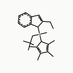 CCC1=Cc2ccccc2C1[Si](C)(CC(C)(C)C)C1C(C)=C(C)C(C)=C1C